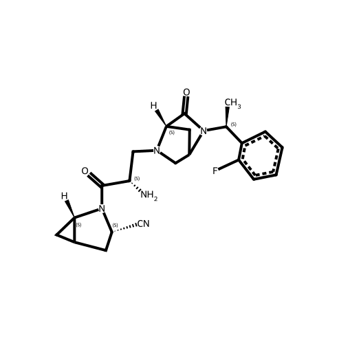 C[C@@H](c1ccccc1F)N1C(=O)[C@@H]2CC1CN2C[C@H](N)C(=O)N1[C@H](C#N)CC2C[C@@H]21